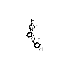 C[C@H]1CN(c2cccc(OCc3ccc(Cl)cc3F)n2)CCN1